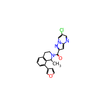 CC1c2c(cccc2-c2ccoc2)CCN1C(=O)c1cc2ncc(Cl)cn2n1